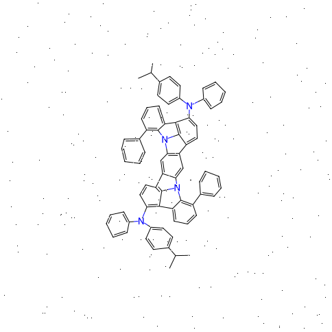 CC(C)c1ccc(N(c2ccccc2)c2ccc3c4cc5c(cc4n4c6c(-c7ccccc7)cccc6c2c34)c2ccc(N(c3ccccc3)c3ccc(C(C)C)cc3)c3c4cccc(-c6ccccc6)c4n5c23)cc1